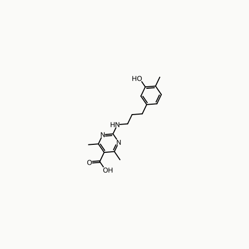 Cc1ccc(CCCNc2nc(C)c(C(=O)O)c(C)n2)cc1O